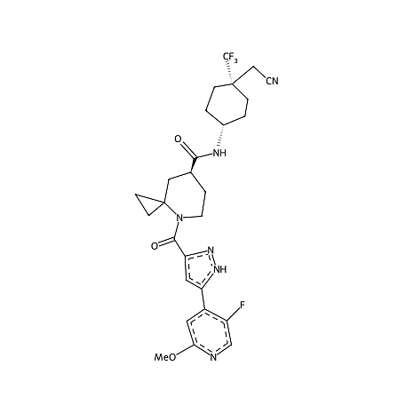 COc1cc(-c2cc(C(=O)N3CC[C@H](C(=O)N[C@H]4CC[C@@](CC#N)(C(F)(F)F)CC4)CC34CC4)n[nH]2)c(F)cn1